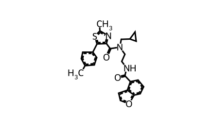 Cc1ccc(-c2sc(C)nc2C(=O)N(CCNC(=O)c2cccc3occc23)CC2CC2)cc1